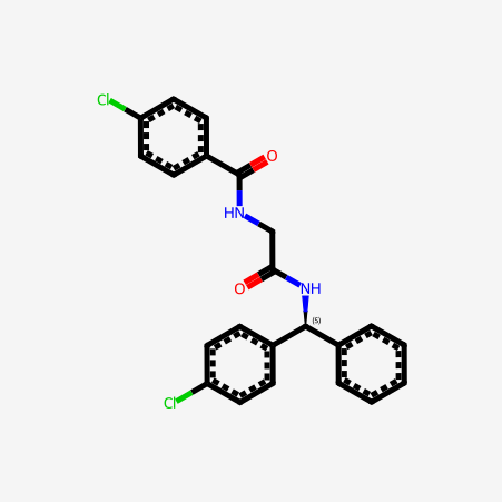 O=C(CNC(=O)c1ccc(Cl)cc1)N[C@@H](c1ccccc1)c1ccc(Cl)cc1